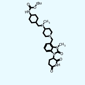 CN(CC1CCC(NC(=O)OC(C)(C)C)CC1)C1CCN(Cc2cccc3c2n(C)c(=O)n3C2CCC(=O)NC2=O)CC1